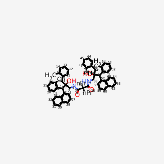 CCCC(CCC)(C(=O)NCC(O)(Cc1ccccc1C)C(c1ccccc1C)c1cccc2ccccc12)C(=O)NCC(O)(Cc1ccccc1C)C(c1ccccc1C)c1cccc2ccccc12